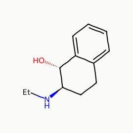 CCN[C@@H]1CCc2ccccc2[C@H]1O